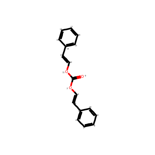 O=C(OC=Cc1ccccc1)OC=Cc1ccccc1